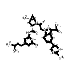 CC(=O)c1nn(CC(=O)N2C3C[C@]3(C)C[C@H]2C(=O)Nc2cc(CCC(C)C)cc(Br)n2)c2ccc(-c3cnc(C)nc3)cc12